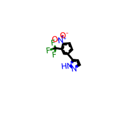 O=[N+]([O-])c1ccc(-c2ccn[nH]2)cc1C(F)(F)F